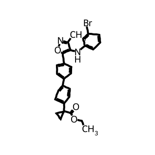 CCOC(=O)C1(c2ccc(-c3ccc(-c4onc(C)c4Nc4cccc(Br)c4)cc3)cc2)CC1